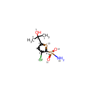 CC(C)(O)c1cc(Br)c(S(N)(=O)=O)s1